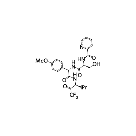 COc1ccc([C@H](NC(=O)[C@H](CO)NC(=O)c2ccccn2)C(=O)N[C@H](C(=O)C(F)(F)F)C(C)C)cc1